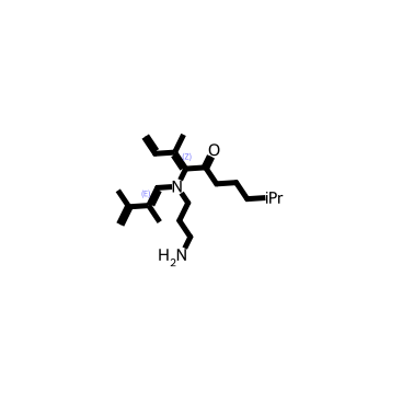 C=C/C(C)=C(/C(=O)CCCC(C)C)N(/C=C(\C)C(=C)C)CCCN